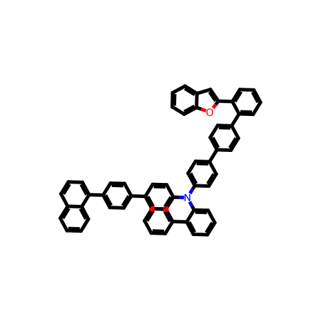 c1ccc(-c2ccccc2N(c2ccc(-c3ccc(-c4ccccc4-c4cc5ccccc5o4)cc3)cc2)c2ccc(-c3ccc(-c4cccc5ccccc45)cc3)cc2)cc1